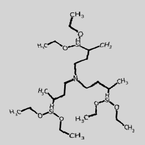 CCO[SiH](OCC)C(C)CCN(CCC(C)[SiH](OCC)OCC)CCC(C)[SiH](OCC)OCC